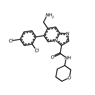 NCc1cc2ncc(C(=O)NC3CCCOC3)n2cc1-c1ccc(Cl)cc1Cl